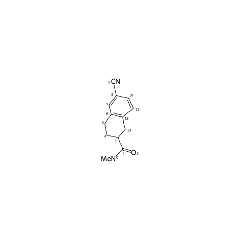 CNC(=O)C1CCc2cc(C#N)ccc2C1